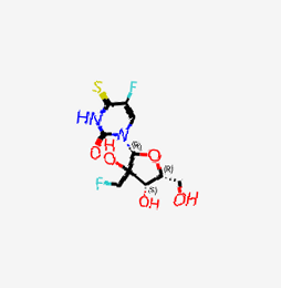 O=c1[nH]c(=S)c(F)cn1[C@@H]1O[C@H](CO)[C@H](O)C1(O)CF